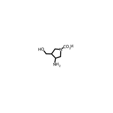 NC1CN(C(=O)O)CC1CO